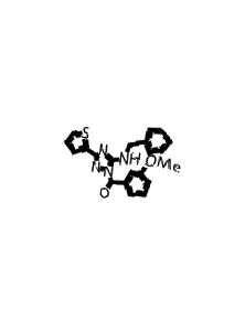 COc1cccc(C(=O)n2nc(-c3cccs3)nc2NCc2ccccc2)c1